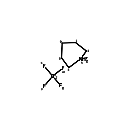 C1CC[NH2+]CC1.F[B-](F)(F)F